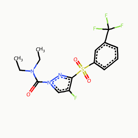 CCN(CC)C(=O)n1cc(F)c(S(=O)(=O)c2cccc(C(F)(F)F)c2)n1